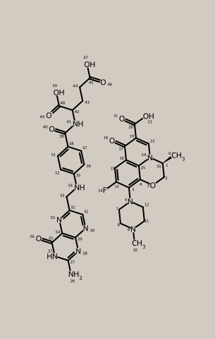 C[C@H]1COc2c(N3CCN(C)CC3)c(F)cc3c(=O)c(C(=O)O)cn1c23.Nc1nc2ncc(CNc3ccc(C(=O)NC(CCC(=O)O)C(=O)O)cc3)nc2c(=O)[nH]1